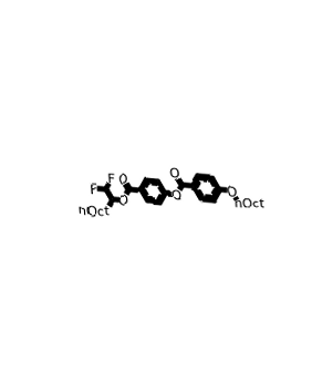 CCCCCCCCOc1ccc(C(=O)Oc2ccc(C(=O)OC(CCCCCCCC)C(F)F)cc2)cc1